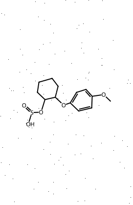 COc1ccc(OC2CCCCC2OS(=O)O)cc1